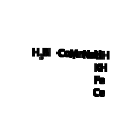 [BiH3].[Ce].[Co].[Fe].[KH].[LiH].[Mn].[NaH]